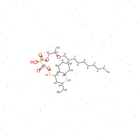 CCCCCCCCCCOC(C)COP(=O)(O)C(=O)OSCCC(CC)SC1CCCCC1